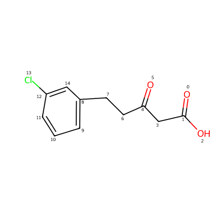 O=C(O)CC(=O)CCc1cccc(Cl)c1